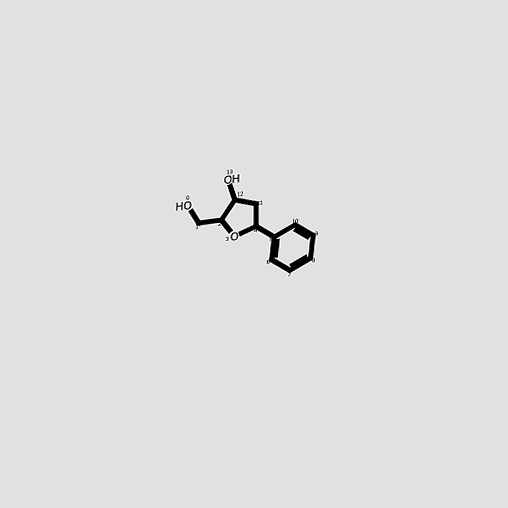 OCC1OC(c2ccccc2)CC1O